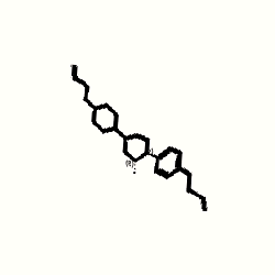 CCCCc1ccc([C@@H]2CCC(C3CCC(CCCC)CC3)C[C@H]2C)cc1